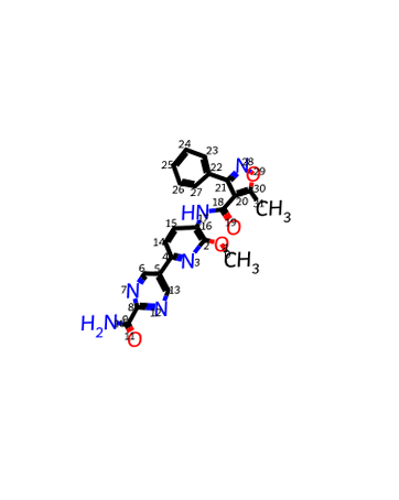 COc1nc(-c2cnc(C(N)=O)nc2)ccc1NC(=O)c1c(-c2ccccc2)noc1C